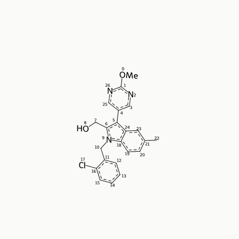 COc1ncc(-c2c(CO)n(Cc3ccccc3Cl)c3ccc(C)cc23)cn1